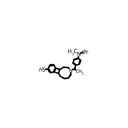 C=C(c1ccc(N(C)C(C)C)cc1)N1CCCCC2c3cc(S)ccc3C2CC1